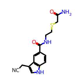 N#CCc1c[nH]c2ccc(C(=O)NCCSCC(N)=O)cc12